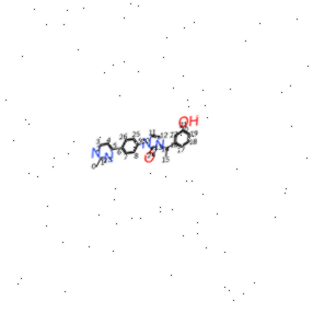 Cc1nccc(-c2ccc(-n3ccn(C(C)c4cccc(O)c4)c3=O)cc2)n1